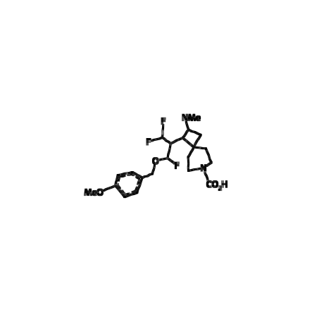 CNC1CC2(CCN(C(=O)O)CC2)C1C(C(F)F)C(F)OCc1ccc(OC)cc1